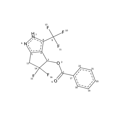 O=C(OC1c2c(n[nH]c2C(F)(F)F)CC1(F)F)c1ccccc1